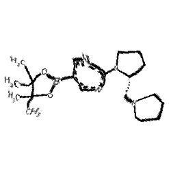 CC1(C)OB(c2cnc(N3CCC[C@@H]3CN3CCCC3)nc2)OC1(C)C